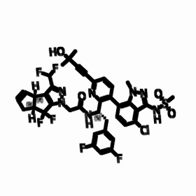 Cn1nc(NS(C)(=O)=O)c2c(Cl)ccc(-c3ccc(C#CC(C)(C)O)nc3[C@H](Cc3cc(F)cc(F)c3)NC(=O)Cn3nc(C(F)F)c4c3C(F)(F)[C@@H]3CC#C[C@H]43)c21